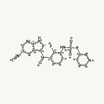 [C-]#[N+]c1cnc2[nH]cc(C(=O)c3cccc(NS(=O)(=O)Cc4cccnc4)c3F)c2c1